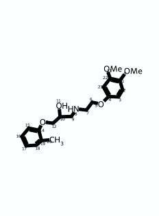 COc1ccc(OCCNCC(O)COc2ccccc2C)cc1OC